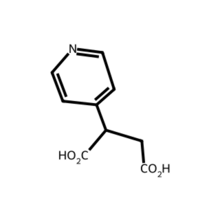 O=C(O)CC(C(=O)O)c1ccncc1